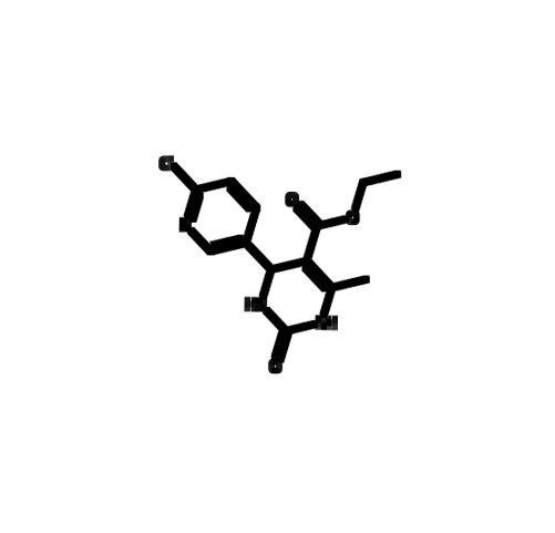 CCOC(=O)C1=C(C)NC(=O)NC1c1ccc(Cl)nc1